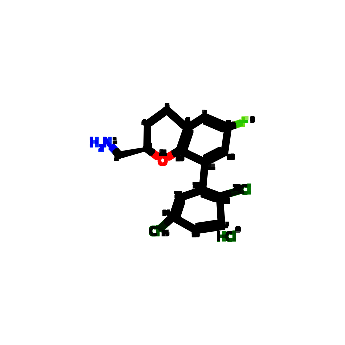 Cl.NC[C@H]1CCc2cc(F)cc(-c3cc(Cl)ccc3Cl)c2O1